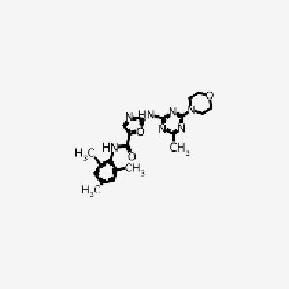 Cc1cc(C)c(NC(=O)c2cnc(Nc3nc(C)nc(N4CCOCC4)n3)o2)c(C)c1